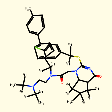 [2H]C([2H])(SC1=NC(=O)C2C(N1CC(=O)N(CCN(C([2H])([2H])C)C([2H])([2H])C)C([2H])([2H])c1ccc(-c3ccc(C(F)(F)F)cc3)cc1)C([2H])([2H])C([2H])(C)C2([2H])[2H])c1ccc(F)cc1